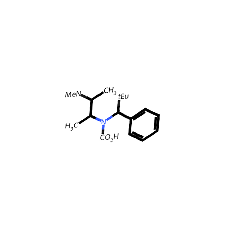 CNC(C)C(C)N(C(=O)O)C(c1ccccc1)C(C)(C)C